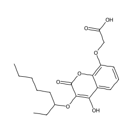 CCCCCC(CC)Oc1c(O)c2cccc(OCC(=O)O)c2oc1=O